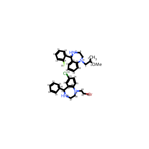 COC(C)CN1CCNC(c2ccccc2F)c2ccccc21.Clc1ccc2c(c1)C(c1ccccc1)NCCN2CCBr